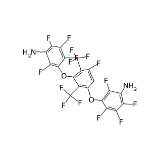 Nc1c(F)c(F)c(F)c(Oc2cc(F)c(C(F)(F)F)c(Oc3c(F)c(N)c(F)c(F)c3F)c2C(F)(F)F)c1F